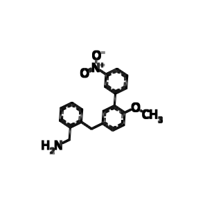 COc1ccc(Cc2ccccc2CN)cc1-c1cccc([N+](=O)[O-])c1